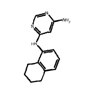 Nc1cc(Nc2cccc3c2CCCC3)ncn1